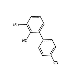 CC(C)(C)c1cccc(-c2ccc(C#N)cc2)c1C#N